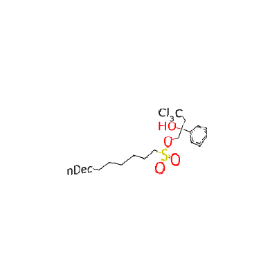 CCCCCCCCCCCCCCCCS(=O)(=O)OCC(O)(CC(Cl)(Cl)Cl)c1ccccc1